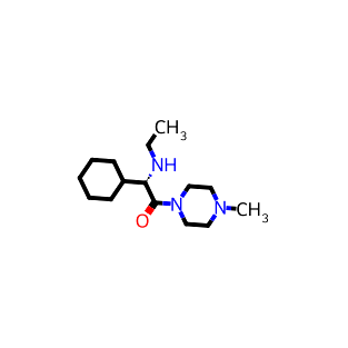 CCN[C@H](C(=O)N1CCN(C)CC1)C1CCCCC1